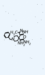 Cc1n[nH]c2c1C1(CCN(Cc3ccccc3)CC1)C(N)=C(N)O2